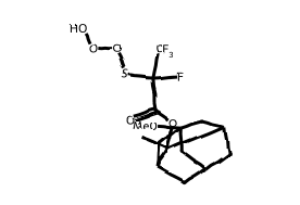 COC12CC3CC(C1)C(C)(OC(=O)C(F)(SOOO)C(F)(F)F)C(C3)C2